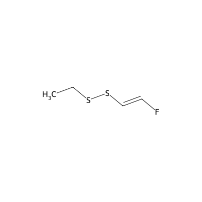 CCSSC=CF